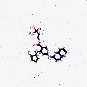 CC(C)(O)[C@H](F)CNC(=O)c1cnc(Nc2ccc3ncccc3n2)cc1NC1CCCC1F